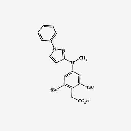 CN(c1cc(C(C)(C)C)c(CC(=O)O)c(C(C)(C)C)c1)c1ccn(-c2ccccc2)n1